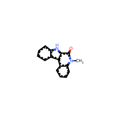 Cn1c(=O)c2[nH]c3ccccc3c2c2ccccc21